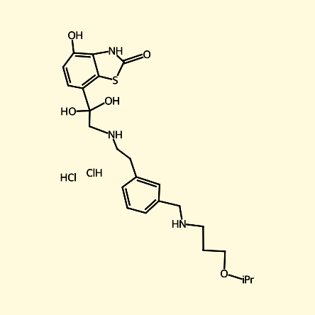 CC(C)OCCCNCc1cccc(CCNCC(O)(O)c2ccc(O)c3[nH]c(=O)sc23)c1.Cl.Cl